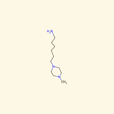 CN1CCN(CCCCCCN)CC1